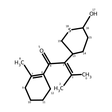 CC(C)=C(C(=O)C1=C(C)CCCC1)C1CCC(O)SC1